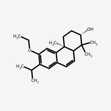 CCOc1cc2c(cc1C(C)C)C=CC1C(C)(C)[C@@H](O)CC[C@]21C